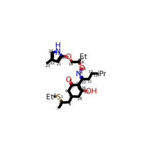 CCSC(C)CC1CC(=O)C(C(CCC(C)C)=NOC(CC)COc2cc(C)c[nH]2)=C(O)C1